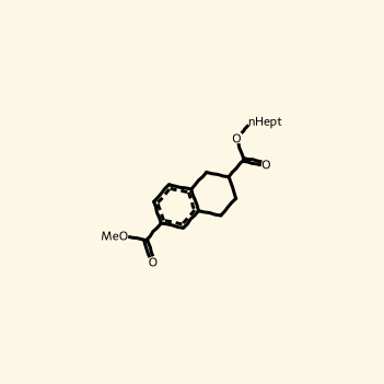 CCCCCCCOC(=O)C1CCc2cc(C(=O)OC)ccc2C1